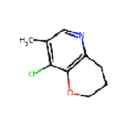 Cc1cnc2c(c1Cl)OCCC2